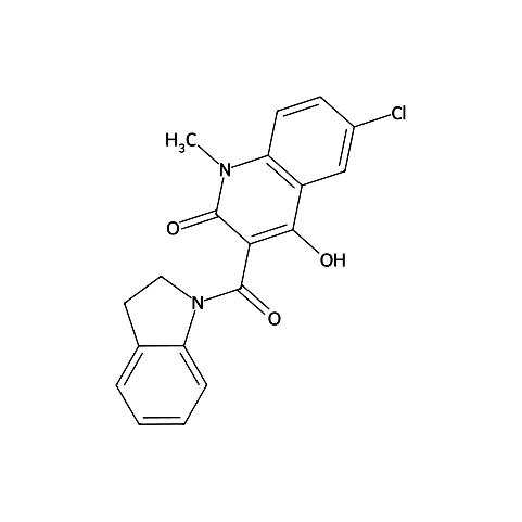 Cn1c(=O)c(C(=O)N2CCc3ccccc32)c(O)c2cc(Cl)ccc21